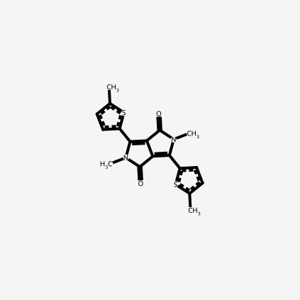 Cc1ccc(C2=C3C(=O)N(C)C(c4ccc(C)s4)=C3C(=O)N2C)s1